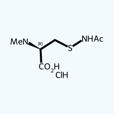 CN[C@@H](CSNC(C)=O)C(=O)O.Cl